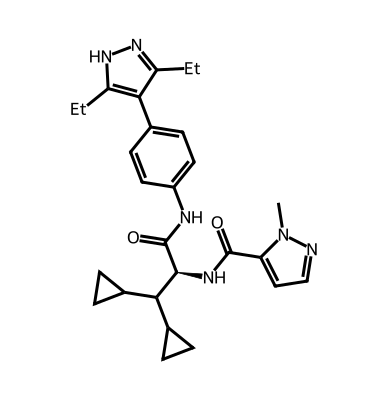 CCc1n[nH]c(CC)c1-c1ccc(NC(=O)[C@@H](NC(=O)c2ccnn2C)C(C2CC2)C2CC2)cc1